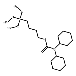 CCCO[Si](CCCCSC(=S)N(C1CCCCC1)C1CCCCC1)(OCCC)OCCC